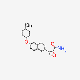 CC(C)(C)C1CCC(Oc2ccc3cc(C4COC4C(N)=O)ccc3c2)CC1